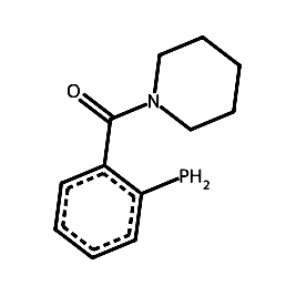 O=C(c1ccccc1P)N1CCCCC1